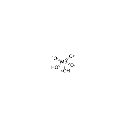 [O]=[Mo](=[O])(=[O])([OH])[OH]